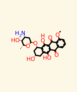 COc1cccc2c1C(=O)c1c(O)c3c(c(O)c1C2=O)C[C@H](O)C[C@@H]3O[C@@H]1C[C@@H](N)[C@@H](O)[C@@H](C)O1